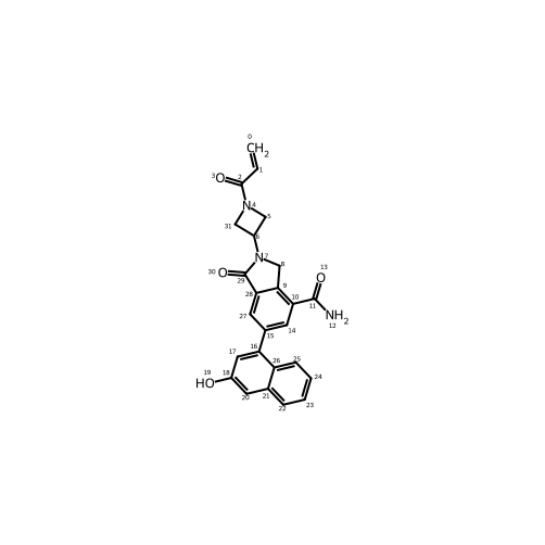 C=CC(=O)N1CC(N2Cc3c(C(N)=O)cc(-c4cc(O)cc5ccccc45)cc3C2=O)C1